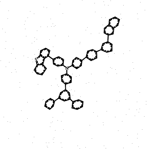 c1ccc(-c2cc(-c3ccccc3)cc(-c3ccc(N(c4ccc(-c5ccc(-c6cccc(-c7ccc8ccccc8c7)c6)cc5)cc4)c4ccc(-c5cccc6sc7ccccc7c56)cc4)cc3)c2)cc1